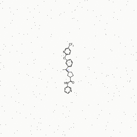 C/C(=C1/CCC(C(=O)Nc2cccnc2)C1)c1cccc(Oc2ccc(C(F)(F)F)cn2)c1